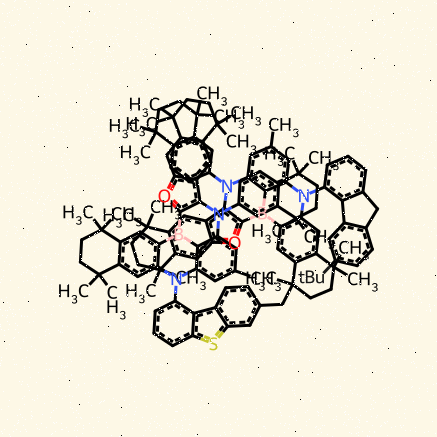 Cc1cc2c3c(c1)N(c1ccc4c(c1)C(C)(C)CCC4(C)C)c1c(oc4cc5c(cc14)C(C)(C)CCC5(C)C)B3c1cc3c(cc1N2c1cccc2c1-c1cc(C(C)(C)C)ccc1C2)C(C)(C)CCC3(C)Cc1ccc2c(c1)sc1cccc(N3c4cc5c(cc4B4c6oc7cc8c(cc7c6N(c6ccc7c(c6)C(C)(C)CCC7(C)C)c6cc(C)cc3c64)C(C)(C)CCC8(C)C)C(C)(C)CCC5(C)C)c12